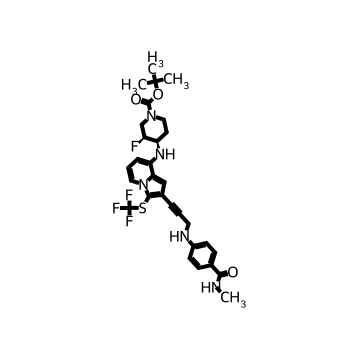 CNC(=O)c1ccc(NCC#Cc2cc3c(N[C@@H]4CCN(C(=O)OC(C)(C)C)C[C@@H]4F)cccn3c2SC(F)(F)F)cc1